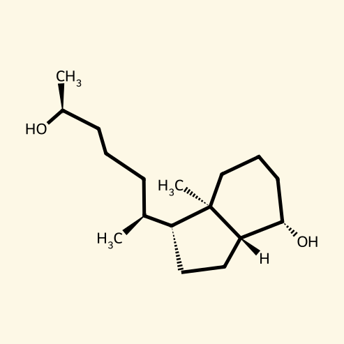 C[C@H](O)CCC[C@H](C)[C@H]1CC[C@H]2[C@@H](O)CCC[C@]12C